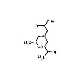 CCCCC(CC)CN(CCC(C)O)CC(C)O